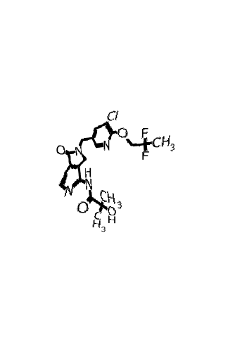 CC(F)(F)COc1ncc(CN2Cc3c(ccnc3NC(=O)C(C)(C)O)C2=O)cc1Cl